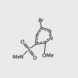 CNS(=O)(=O)c1cc(Br)cnc1OC